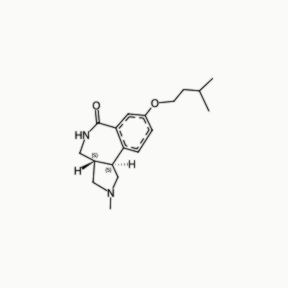 CC(C)CCOc1ccc2c(c1)C(=O)NC[C@H]1CN(C)C[C@H]21